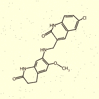 COc1cc2c(cc1NCc1cc3cc(Cl)ccc3[nH]c1=O)NC(=O)CC2